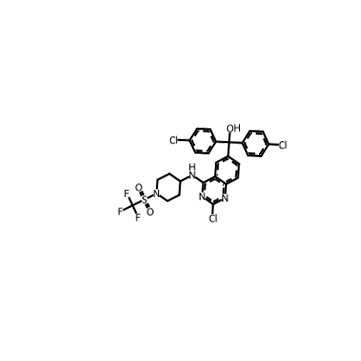 O=S(=O)(N1CCC(Nc2nc(Cl)nc3ccc(C(O)(c4ccc(Cl)cc4)c4ccc(Cl)cc4)cc23)CC1)C(F)(F)F